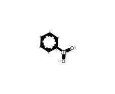 [O]=[Ti](=[O])[c]1[c]cccc1